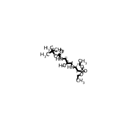 CCOP(=O)(CCNCC(O)CNC(=O)OC(C)(C)C)OCC